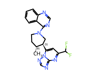 C[C@@H]1CCN(c2ncnc3ccccc23)C[C@H]1c1cc(C(F)F)nc2ncnn12